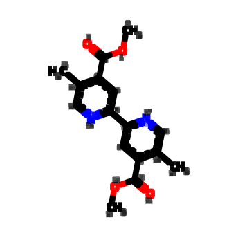 COC(=O)c1cc(-c2cc(C(=O)OC)c(C)cn2)ncc1C